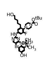 CN(c1cc(O)ccc1Nc1nc(Nc2cc(F)c(N3CCN(C(=O)OC(C)(C)C)CC3)c(CCCCCO)c2)ncc1Br)S(C)(=O)=O